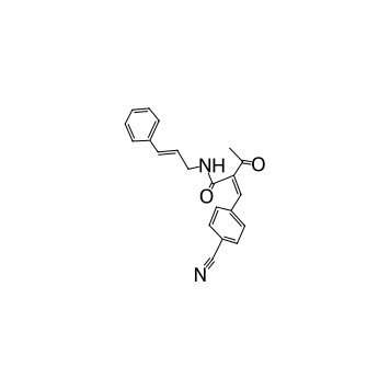 CC(=O)/C(=C/c1ccc(C#N)cc1)C(=O)NC/C=C/c1ccccc1